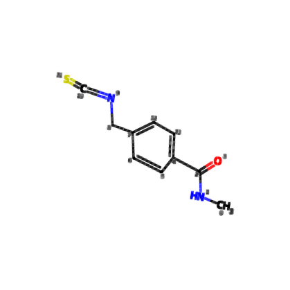 CNC(=O)c1ccc(CN=C=S)cc1